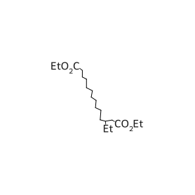 CCOC(=O)CCCCCCCCCCC(CC)CC(=O)OCC